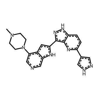 CN1CCN(c2cncc3[nH]c(-c4n[nH]c5ccc(-c6cn[nH]c6)nc45)cc23)CC1